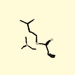 C=CC(=O)OCCC(C)C.CN(C)C